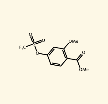 COC(=O)c1ccc(OS(=O)(=O)C(F)(F)F)cc1OC